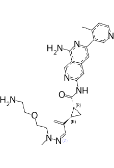 C=C(/C=N\N(C)CCOCCN)[C@@H]1C[C@H]1C(=O)Nc1cc2cc(-c3cnccc3C)nc(N)c2cn1